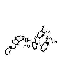 O=C(O)c1ccccc1-c1c2cc(Cl)c(=O)cc-2oc2c(CNc3cccc4ccc(Cc5ccccc5)nc34)c(O)ccc12